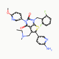 CCN(C)Cc1c(-c2ccc(N)nc2)sc2c1c(=O)n(-c1ccc(OC)nc1)c(=O)n2Cc1c(F)cccc1F